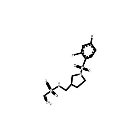 C=CS(=O)(=O)NCC1CCN(S(=O)(=O)c2ccc(F)cc2F)C1